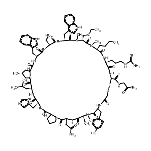 CCCC[C@H]1C(=O)N[C@@H](CCCNC(=N)N)C(=O)NC(C(=O)NCC(N)=O)CSCC(=O)N[C@@H](Cc2ccc(O)cc2)C(=O)N(C)[C@@H](C)C(=O)N[C@@H](CC(N)=O)C(=O)N2CCC[C@H]2C(=O)N[C@@H](Cc2cnc[nH]2)C(=O)N[C@@H](CC(C)C)C(=O)N2C[C@H](O)C[C@H]2C(=O)N[C@@H](Cc2c[nH]c3ccccc23)C(=O)N[C@@H](CO)C(=O)N[C@@H](Cc2c[nH]c3ccccc23)C(=O)N(C)[C@@H](COCC)C(=O)N1C